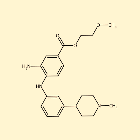 COCCOC(=O)c1ccc(Nc2cccc(C3CCN(C)CC3)c2)c(N)c1